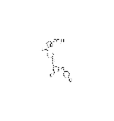 O=C(O)c1ccn(C(=O)C2CCC(OCc3cc(Cl)cc(Oc4ccc(Cl)cc4)c3)CC2)n1